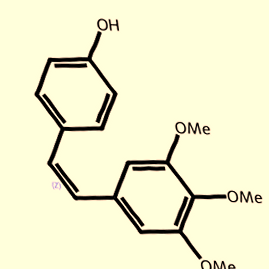 COc1cc(/C=C\c2ccc(O)cc2)cc(OC)c1OC